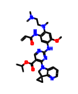 C=CC(=O)Nc1cc(Nc2ncc(C(=O)OC(C)C)c(N3CC4(CC4)c4ncccc43)n2)c(OC)cc1N(C)CCN(C)C